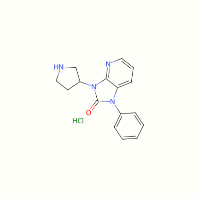 Cl.O=c1n(-c2ccccc2)c2cccnc2n1C1CCNC1